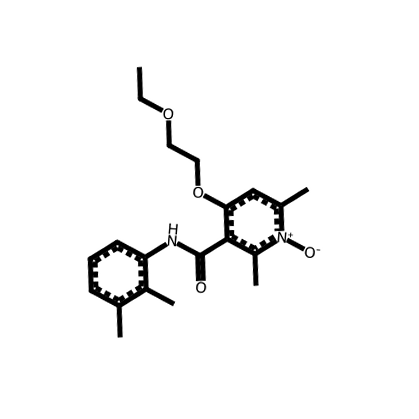 CCOCCOc1cc(C)[n+]([O-])c(C)c1C(=O)Nc1cccc(C)c1C